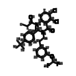 CCC(=O)Nc1ccc(Cl)c(Cl)c1C(=O)N(CCc1cccc(OC(F)F)c1)Cc1ccc(C(C)(C)C)cc1